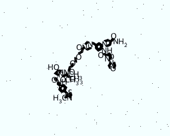 Cc1ncsc1-c1ccc(CNC(=O)[C@@H]2C[C@@H](O)CN2C(=O)[C@@H](NC(=O)CCOCCOCCC(=O)N2CCN(Cc3ccc(NC(=O)c4coc(N5CCOCC5)n4)c(N4CCC(C(N)=O)CC4)c3)CC2)C(C)(C)C)cc1